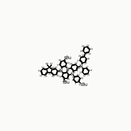 CC(C)(C)c1ccc(N2c3cc(N(c4ccccc4)c4ccc(-c5ccccc5)cc4)ccc3B3c4cc(C(C)(C)C)ccc4N(c4ccc5c(c4)C(C)(C)c4ccccc4-5)c4cc(C(C)(C)C)cc2c43)cc1